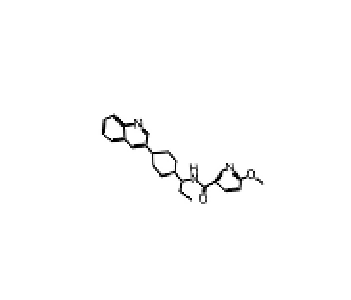 CCC(NC(=O)c1ccc(OC)nc1)C1CCC(c2cnc3ccccc3c2)CC1